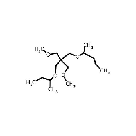 CCCC(C)OCC(COC)(COC)COC(C)CC